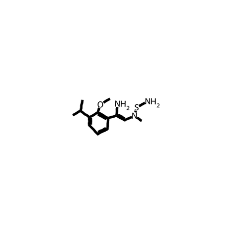 COc1c(/C(N)=C/N(C)SN)cccc1C(C)C